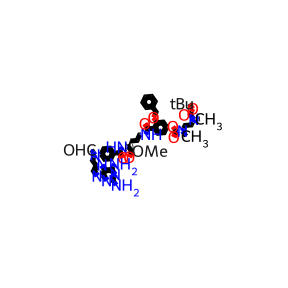 COC(=O)[C@H](CCCNC(=O)c1ccc(OC(=O)N(C)CCN(C)C(=O)OC(C)(C)C)cc1OCc1ccccc1)NC(=O)c1ccc(N(C=O)Cc2cnc3nc(N)nc(N)c3n2)cc1